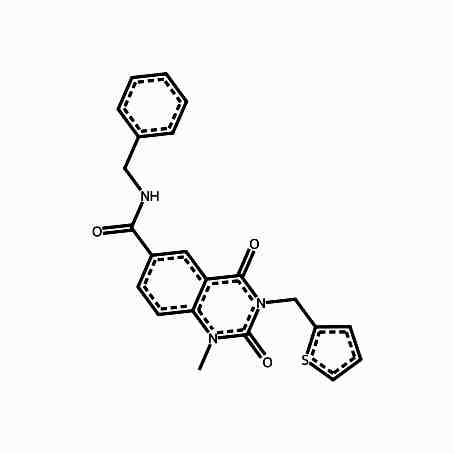 Cn1c(=O)n(Cc2cccs2)c(=O)c2cc(C(=O)NCc3ccccc3)ccc21